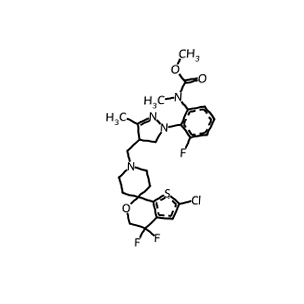 COC(=O)N(C)c1cccc(F)c1N1CC(CN2CCC3(CC2)OCC(F)(F)c2cc(Cl)sc23)C(C)=N1